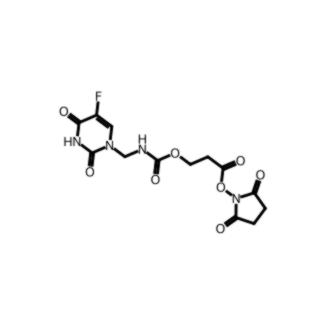 O=C(CCOC(=O)NCn1cc(F)c(=O)[nH]c1=O)ON1C(=O)CCC1=O